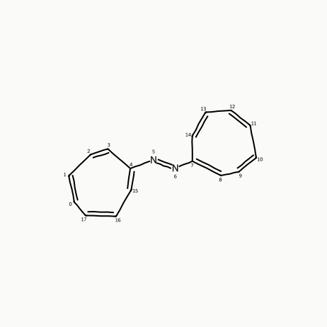 C1=CC=CC(N=NC2=CC=CC=CC=C2)=CC=C1